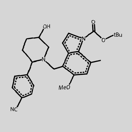 COc1cc(C)c2c(ccn2C(=O)OC(C)(C)C)c1CN1CC(O)CCC1c1ccc(C#N)cc1